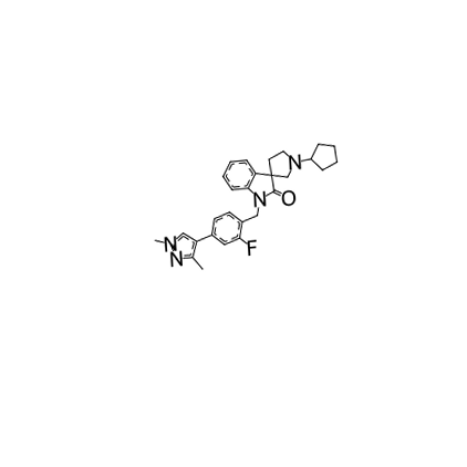 Cc1nn(C)cc1-c1ccc(CN2C(=O)C3(CCN(C4CCCC4)C3)c3ccccc32)c(F)c1